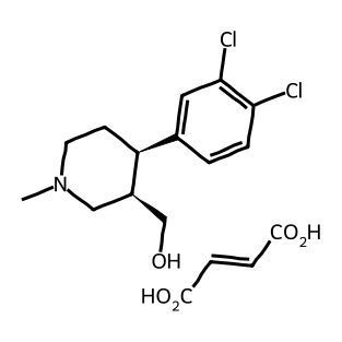 CN1CC[C@@H](c2ccc(Cl)c(Cl)c2)[C@@H](CO)C1.O=C(O)/C=C/C(=O)O